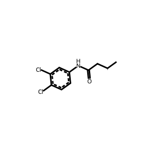 C[CH]CC(=O)Nc1ccc(Cl)c(Cl)c1